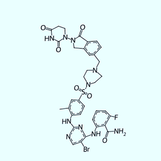 Cc1cc(S(=O)(=O)N2CCN(Cc3ccc4c(c3)CN(N3CCC(=O)NC3=O)C4=O)CC2)ccc1Nc1ncc(Br)c(Nc2cccc(F)c2C(N)=O)n1